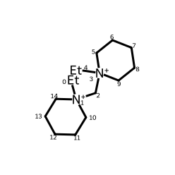 CC[N+]1(C[N+]2(CC)CCCCC2)CCCCC1